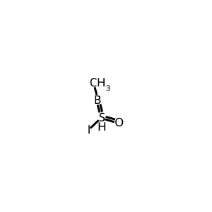 CB=[SH](=O)I